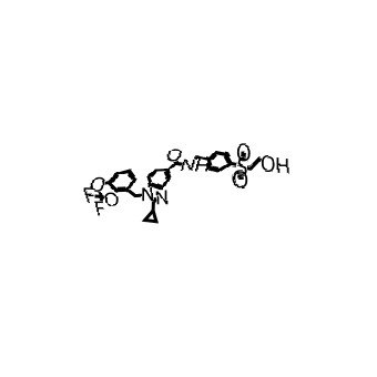 O=C(NCc1ccc(S(=O)(=O)CCO)cc1)c1ccc2c(c1)nc(C1CC1)n2Cc1cccc2c1OC(F)(F)O2